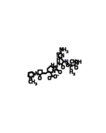 C[n+]1cccc(N2CCC(=CC3=C(C(=O)[O-])N4C(=O)[C@@H](NC(=O)/C(=N\OC(C)(C)C(=O)O)c5csc(N)n5)[C@H]4CC3)C2=O)c1